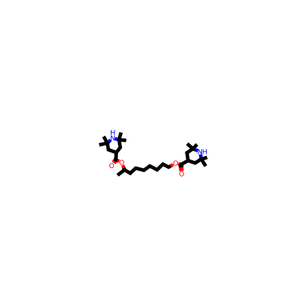 CC(CCCCCCCOC(=O)C1CC(C)(C)NC(C)(C)C1)OC(=O)C1CC(C)(C)NC(C)(C)C1